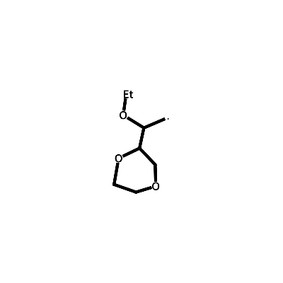 [CH2]C(OCC)C1COCCO1